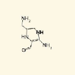 NCC1CNC(N)=C(C=O)N1